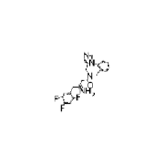 N[C@@H](CC(=O)N1Cc2ccccc2-n2cncc2C1)Cc1cc(F)c(F)cc1F